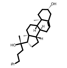 CC(C)CCC[C@](C)(O)[C@H]1CC[C@H]2[C@@H]3CC=C4C[C@@H](O)CC[C@]4(C)[C@H]3CC[C@@]21C